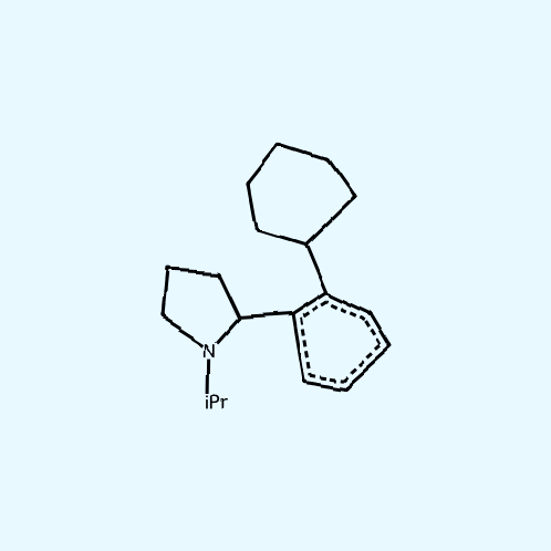 CC(C)N1CCCC1c1ccccc1C1CCCCC1